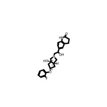 O=C1CCc2cc(C(O)CN3C[C@@H]4C[C@@H](Oc5ccccc5F)C[C@]4(O)C3)ccc2N1